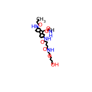 [2H]NC(=O)OCC1c2cc(NC(=O)CCC)ccc2-c2ccc(NC(=O)CCCC(=O)NCCOCCCCO)cc21